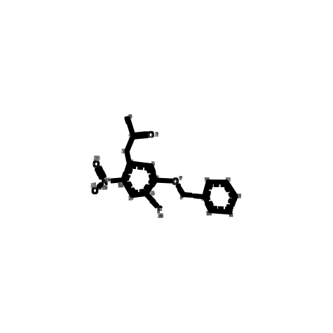 CC(=O)Cc1cc(OCc2ccccc2)c(F)cc1[N+](=O)[O-]